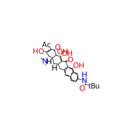 CC(=O)C1=C(O)[C@@H](N(C)C)[C@@H]2C[C@@H]3Cc4cc5ccc(NC(=O)C(C)(C)C)cc5c(O)c4C(=O)C3=C(O)[C@]2(O)C1=O